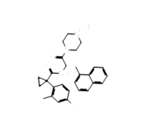 CN1CCN(C(=O)[C@H](Cc2cccc3ccccc23)NC(=O)C2(c3ccc(Cl)cc3Cl)CC2)CC1